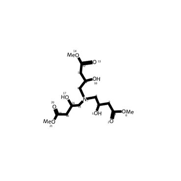 COC(=O)CC(O)CN(CC(O)CC(=O)OC)CC(O)CC(=O)OC